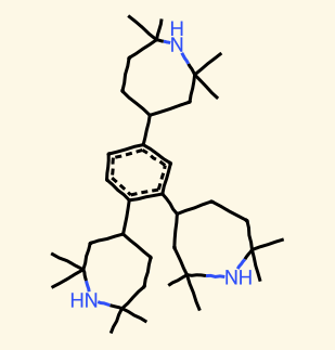 CC1(C)CCC(c2ccc(C3CCC(C)(C)NC(C)(C)C3)c(C3CCC(C)(C)NC(C)(C)C3)c2)CC(C)(C)N1